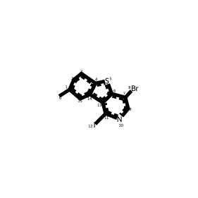 Cc1ccc2sc3c(Br)cnc(I)c3c2c1